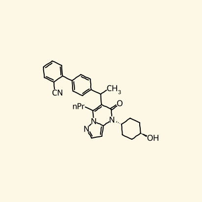 CCCc1c(C(C)c2ccc(-c3ccccc3C#N)cc2)c(=O)n([C@H]2CC[C@H](O)CC2)c2ccnn12